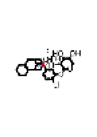 [2H]C([2H])([2H])O/C(=C1\C2CCCC1C1=C(CCCC1)C2)c1ccc(Cl)c(OC2OC[C@@H](O)[C@H](O)[C@@H]2C)c1